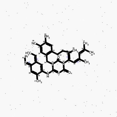 C/C=C1/C=C(Nc2nc(=O)n(C(/C=C(/C)C=C(C)C)=C/C)c(=O)n2Cc2cc(C#N)c(P)cc2CCC(C)C)C(C)=C/C1=N/C(C)C